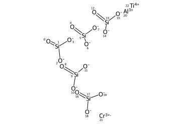 O=[Si]([O-])[O-].O=[Si]([O-])[O-].O=[Si]([O-])[O-].O=[Si]([O-])[O-].O=[Si]([O-])[O-].[Al+3].[Cr+3].[Ti+4]